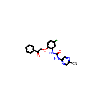 N#Cc1cnc(NC(=O)Nc2cc(Cl)ccc2OCC(=O)c2ccccc2)cn1